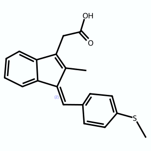 CSc1ccc(/C=C2\C(C)=C(CC(=O)O)c3ccccc32)cc1